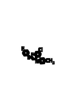 Cc1ccc(N=C(C=CSc2ccc(F)cc2)c2ccc(Cl)cc2F)cc1